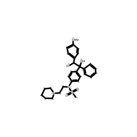 CCC(c1ccc(OC)cc1)C(O)(c1ccccc1)c1ccc(N(CCN2CCCCC2)S(C)(=O)=O)cc1